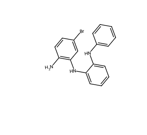 Nc1ccc(Br)cc1Nc1ccccc1Nc1ccccc1